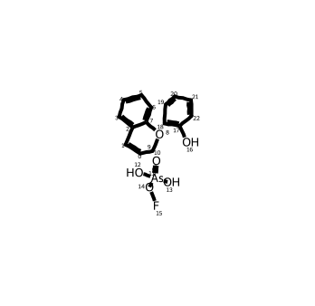 C1=Cc2ccccc2OC1.O=[As](O)(O)OF.Oc1ccccc1